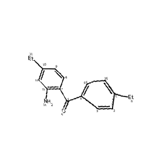 CCc1ccc(C(=O)c2ccc(CC)cc2N)cc1